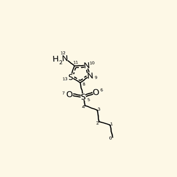 CCCCCS(=O)(=O)c1nnc(N)s1